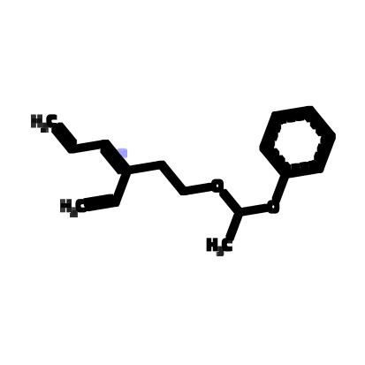 C=C/C=C(\C=C)CCOC(C)Oc1ccccc1